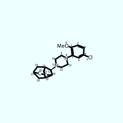 COc1ccc(Cl)cc1N1CCN([C@@H]2C3CC4CCC2C(C4)C3)CC1